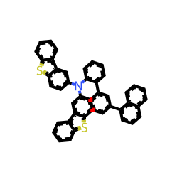 c1cc(-c2ccccc2N(c2ccc3sc4ccccc4c3c2)c2ccc3sc4ccccc4c3c2)cc(-c2cccc3ccccc23)c1